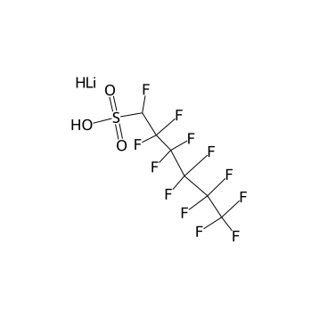 O=S(=O)(O)C(F)C(F)(F)C(F)(F)C(F)(F)C(F)(F)C(F)(F)F.[LiH]